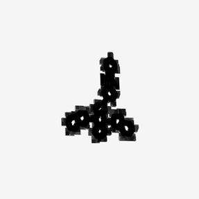 c1ccc(-n2nc3ccc(-c4ccc5c(-c6ccc7ccccc7c6)c6ccccc6c(-c6ccc7ccccc7c6)c5c4)cc3n2)cc1